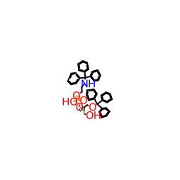 O=P(O)(OCCNC(c1ccccc1)(c1ccccc1)c1ccccc1)O[C@@H](CO)COC(c1ccccc1)(c1ccccc1)c1ccccc1